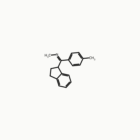 C/N=C(/c1ccc(C)cc1)C1CCc2ccccc21